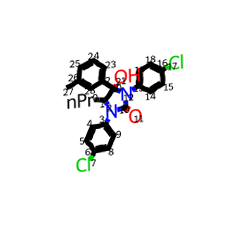 CCCC1N(c2ccc(Cl)cc2)C(=O)N(c2ccc(Cl)cc2)C1(O)c1cccc(C)c1